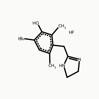 Cc1cc(C(C)(C)C)c(O)c(C)c1CC1=NCCN1.F